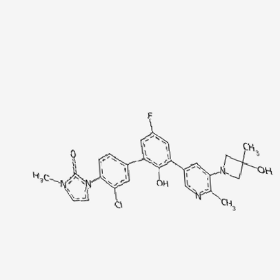 Cc1ncc(-c2cc(F)cc(-c3ccc(-n4ccn(C)c4=O)c(Cl)c3)c2O)cc1N1CC(C)(O)C1